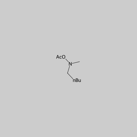 CCCCCN(C)OC(C)=O